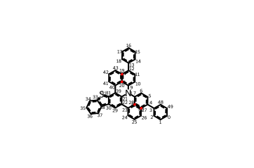 c1ccc(-c2ccc(N(c3ccc(-c4ccccc4)cc3)c3c(-c4ccccc4)cc4c(sc5ccccc54)c3-c3ccccc3)cc2)cc1